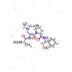 CN[C@@H](C)C(=O)N[C@H]1CN(CC(F)(F)F)CC[C@H]2CC[C@@H](C(=O)N[C@@H]3CCOc4ccccc43)N2C1=O